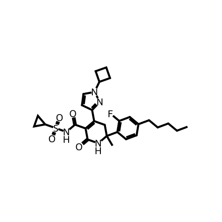 CCCCCc1ccc(C2(C)CC(c3ccn(C4CCC4)n3)=C(C(=O)NS(=O)(=O)C3CC3)C(=O)N2)c(F)c1